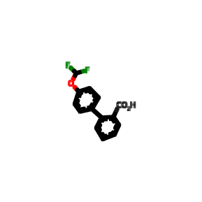 O=C(O)c1ccccc1-c1ccc(OC(F)F)cc1